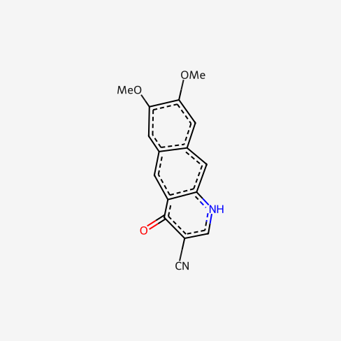 COc1cc2cc3[nH]cc(C#N)c(=O)c3cc2cc1OC